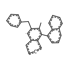 Cc1c(Cc2ccccc2)[c]c2ccccc2c1-c1cccc2ccccc12